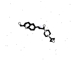 O=Cc1ccc2cc(/C=C/C(=O)N3CCN(C4COC4)CC3)ccc2n1